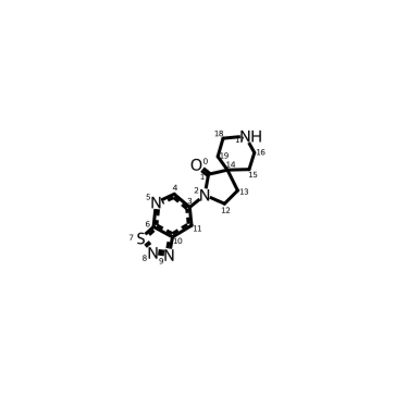 O=C1N(c2cnc3snnc3c2)CCC12CCNCC2